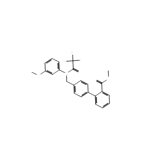 COC(=O)c1ccccc1-c1ccc(CN(C(=O)C(F)(F)F)c2cccc(OC)c2)cc1